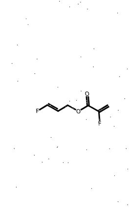 C=C(F)C(=O)OCC=CF